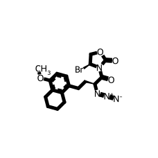 COc1ccc(CC[C@H](N=[N+]=[N-])C(=O)N2C(=O)OC[C@@H]2Br)c2c1CCCC2